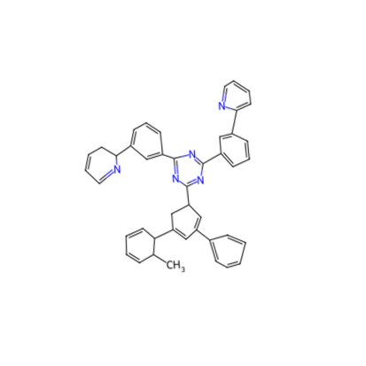 CC1C=CC=CC1C1=CC(c2ccccc2)=CC(c2nc(-c3cccc(-c4ccccn4)c3)nc(-c3cccc(C4CC=CC=N4)c3)n2)C1